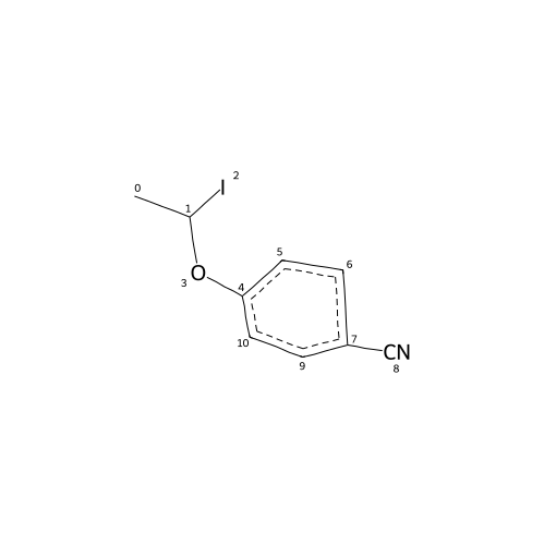 CC(I)Oc1ccc(C#N)cc1